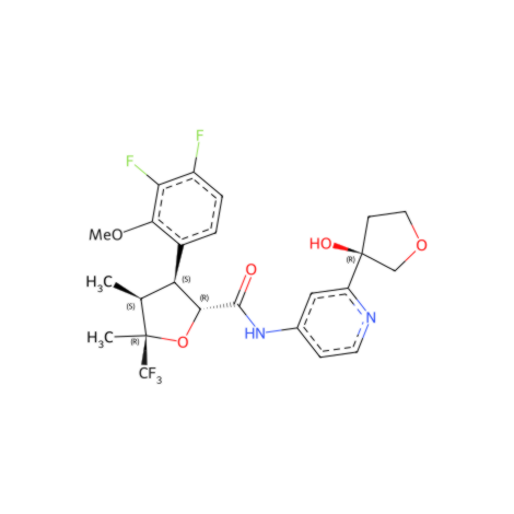 COc1c([C@H]2[C@H](C(=O)Nc3ccnc([C@]4(O)CCOC4)c3)O[C@@](C)(C(F)(F)F)[C@H]2C)ccc(F)c1F